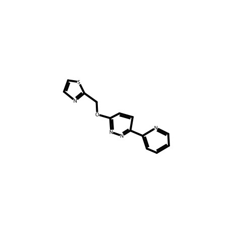 c1ccc(-c2ccc(OCc3nccs3)nn2)nc1